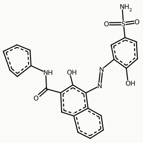 NS(=O)(=O)c1ccc(O)c(N=Nc2c(O)c(C(=O)Nc3ccccc3)cc3ccccc23)c1